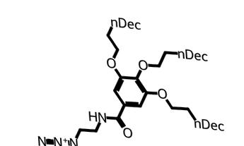 CCCCCCCCCCCCOc1cc(C(=O)NCCN=[N+]=[N-])cc(OCCCCCCCCCCCC)c1OCCCCCCCCCCCC